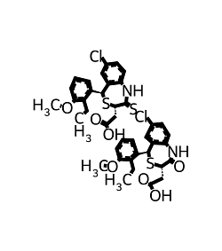 CCc1c(OC)cccc1[C@@H]1S[C@@H](CC(=O)O)C(=O)Nc2ccc(Cl)cc21.CCc1c(OC)cccc1[C@@H]1S[C@@H](CC(=O)O)C(=S)Nc2ccc(Cl)cc21